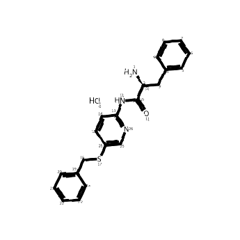 Cl.N[C@@H](Cc1ccccc1)C(=O)Nc1ccc(SCc2ccccc2)cn1